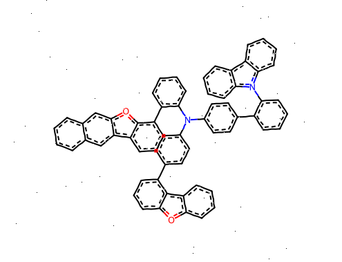 c1ccc(N(c2ccc(-c3ccccc3-n3c4ccccc4c4ccccc43)cc2)c2ccc(-c3cccc4oc5ccccc5c34)cc2)c(-c2cccc3c2oc2cc4ccccc4cc23)c1